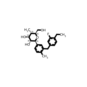 CCc1ccc(Cc2cc([C@@H]3O[C@H](CO)[C@@H](C)[C@H](O)[C@H]3O)ccc2C)cc1F